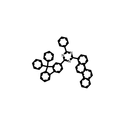 c1ccc(-c2nc(-c3ccc4c(c3)C(c3ccccc3)(c3ccccc3)c3ccccc3-4)nc(-c3cccc4c3ccc3c5ccccc5ccc43)n2)cc1